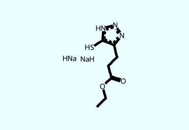 CCOC(=O)CCc1nn[nH]c1S.[NaH].[NaH]